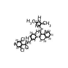 Cc1nc(CN(Cc2ccc(CNC(=O)c3c(Cl)cncc3Cl)cc2)C2CCCc3cccnc32)c(C)[nH]1